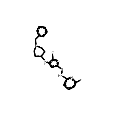 Fc1cccc(NSc2cc(NC3CCN(Cc4ccccc4)CC3)c(Cl)s2)n1